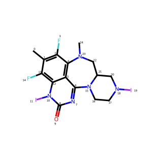 Cc1c(F)c2c3c(nc(=O)n(I)c3c1F)N1CCN(I)CC1CN2C